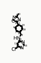 Cc1noc(-c2ccc(CNc3cc(Cl)ncn3)cc2)n1